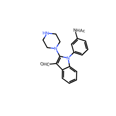 CC(=O)Nc1cccc(-n2c(N3CCNCC3)c(C=O)c3ccccc32)c1